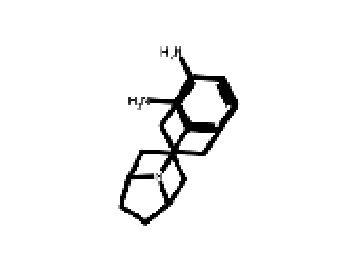 Nc1cccc(C2CC3CCC(C2)N3C2CC3CCCC(C3)C2)c1N